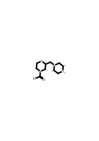 CCC(=O)N1CCOC(CN2CCOCC2)C1